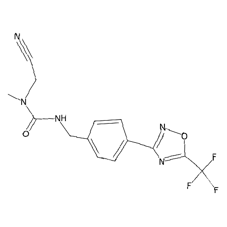 CN(CC#N)C(=O)NCc1ccc(-c2noc(C(F)(F)F)n2)cc1